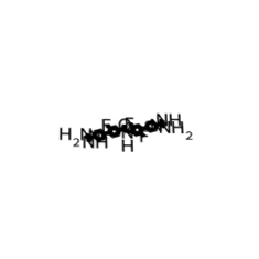 N=C(N)N1CC=C(c2ccc(C(=O)Nc3cc(F)c(C4=CCN(C(=N)N)CC4)cc3F)cc2F)CC1